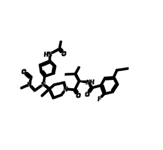 CCc1ccc(F)c(C(=O)N[C@@H](C(=O)N2CCC(C)(N(CN(C)C=O)c3ccc(NC(C)=O)cc3)CC2)C(C)C)c1